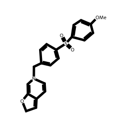 COc1ccc(S(=O)(=O)c2ccc(CN3C=CC4=CCOC4=C3)cc2)cc1